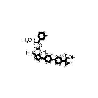 COCC(OC(=O)Nc1c(-c2ccc(-c3ccc(C4(C(=O)O)CC4)cc3)cc2)cnn1C)c1ccccc1